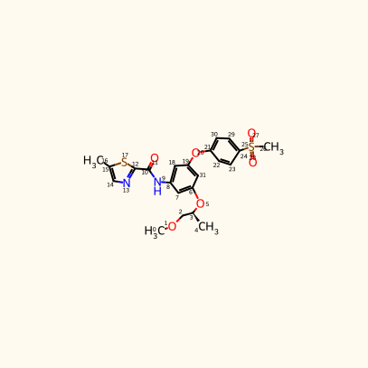 COC[C@H](C)Oc1cc(NC(=O)c2ncc(C)s2)cc(Oc2ccc(S(C)(=O)=O)cc2)c1